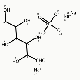 O=CC(O)C(O)C(O)C(O)CO.O=P([O-])([O-])[O-].[Na+].[Na+].[Na+]